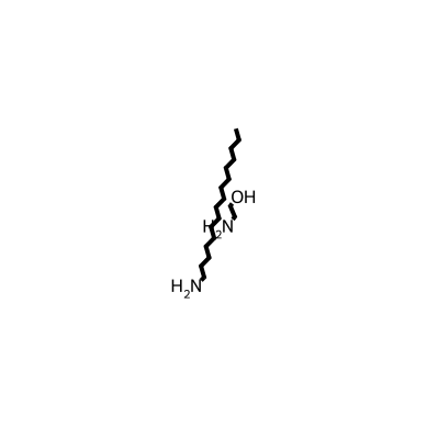 CCCCCCCCCCCCCCCCN.NCCO